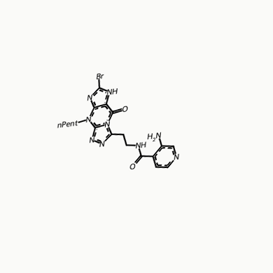 CCCCCn1c2nc(Br)[nH]c2c(=O)n2c(CCNC(=O)c3ccncc3N)nnc12